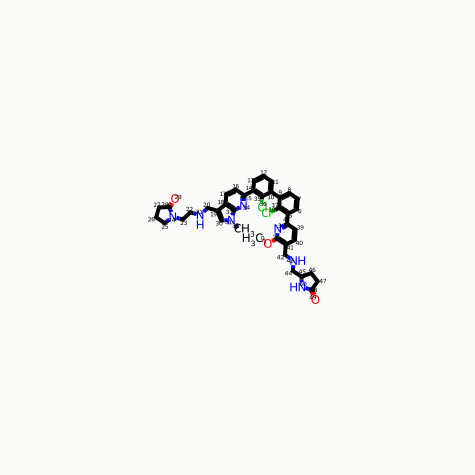 COc1nc(-c2cccc(-c3cccc(-c4ccc5c(CNCCN6CCCC6=O)cn(C)c5n4)c3Cl)c2Cl)ccc1CNCC1CCC(=O)N1